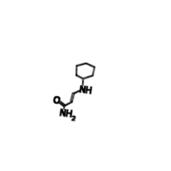 NC(=O)/C=C/NC1CCCCC1